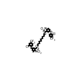 O=C(OCCCCCCCCCCOC(=O)c1cc(Oc2ccc(C(F)(F)F)cc2Cl)ccc1[N+](=O)[O-])c1cc(Oc2ccc(C(F)(F)F)cc2Cl)ccc1[N+](=O)[O-]